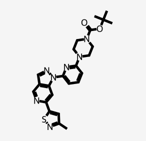 Cc1cc(-c2cc3c(cn2)cnn3-c2cccc(N3CCN(C(=O)OC(C)(C)C)CC3)n2)sn1